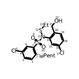 CCC[C@@H](C)c1ccc(Cl)cc1S(=O)(=O)N(SCC)c1cc(Cl)ccc1CO